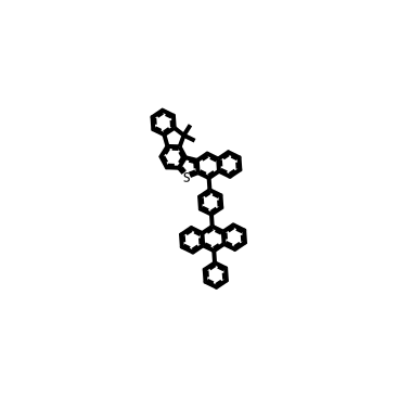 CC1(C)c2ccccc2-c2ccc3sc4c(-c5ccc(-c6c7ccccc7c(-c7ccccc7)c7ccccc67)cc5)c5ccccc5cc4c3c21